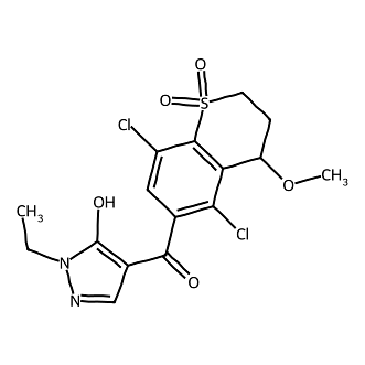 CCn1ncc(C(=O)c2cc(Cl)c3c(c2Cl)C(OC)CCS3(=O)=O)c1O